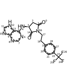 O=C1C[C@H](Nc2ncnc3nc[nH]c23)C(=O)N1CCc1ccc(C(F)(F)F)cc1